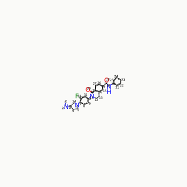 CN(C)[C@@H]1CCN(c2ccc(N3CCc4cc(C(=O)Nc5ccccc5)ccc4C3=O)cc2F)C1